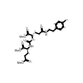 COC(=O)CC[C@H](NC(=O)O[C@@H](CCC(=O)NCCc1ccc(I)cc1)C(=O)OC)C(=O)OC